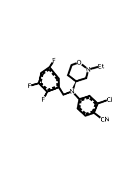 CCN1C[C@@H](N(Cc2cc(F)cc(F)c2F)c2ccc(C#N)c(Cl)c2)CCO1